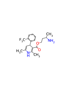 CC1=CC(c2ccccc2C(F)(F)F)C(C(=O)OCCC(C)N)=C(C)N1